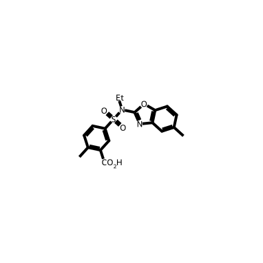 CCN(c1nc2cc(C)ccc2o1)S(=O)(=O)c1ccc(C)c(C(=O)O)c1